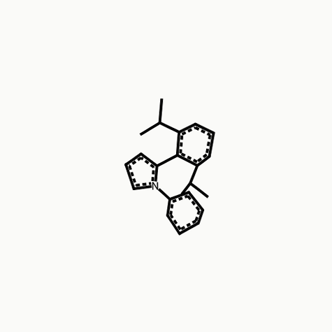 CC(C)c1cccc(C(C)C)c1-c1cccn1-c1ccccc1